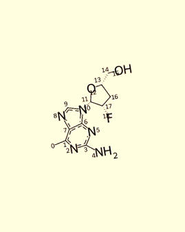 Cc1nc(N)nc2c1ncn2[C@@H]1O[C@H](CO)C[C@@H]1F